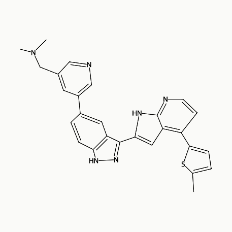 Cc1ccc(-c2ccnc3[nH]c(-c4n[nH]c5ccc(-c6cncc(CN(C)C)c6)cc45)cc23)s1